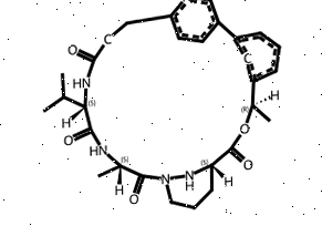 CC(C)[C@@H]1NC(=O)CCc2ccc(cn2)-c2cccc(c2)[C@@H](C)OC(=O)[C@@H]2CCCN(N2)C(=O)[C@H](C)NC1=O